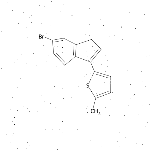 Cc1ccc(C2=CCc3cc(Br)ccc32)s1